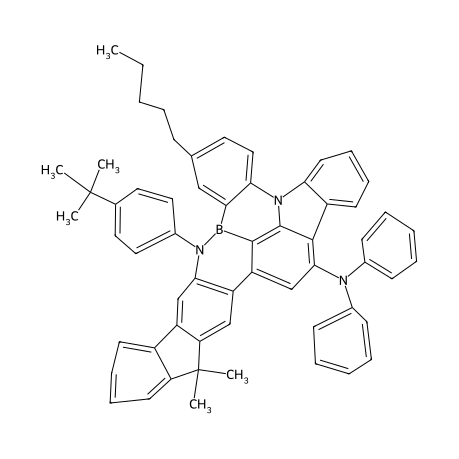 CCCCCc1ccc2c(c1)B1c3c(cc(N(c4ccccc4)c4ccccc4)c4c5ccccc5n-2c34)-c2cc3c(cc2N1c1ccc(C(C)(C)C)cc1)-c1ccccc1C3(C)C